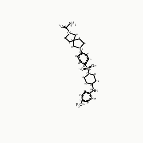 NC(=O)N1CCC2(CCN(c3ccc(S(=O)(=O)N4CCC(Nc5ccc(C(F)(F)F)cn5)CC4)cc3)C2)C1